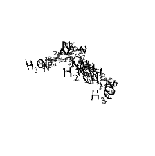 COc1ccc(CN2C[C@@](C)(N)[C@H]3[C@@H]2CN3c2ccc(-c3cc(-c4cnn(C)c4)cn4ncc(C#N)c34)cn2)cn1